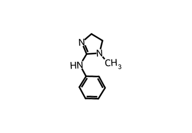 CN1CCN=C1Nc1ccccc1